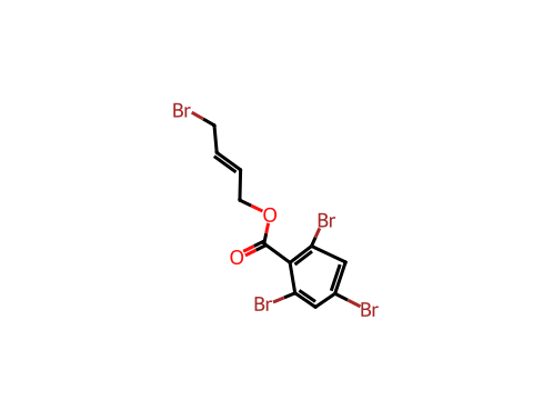 O=C(OCC=CCBr)c1c(Br)cc(Br)cc1Br